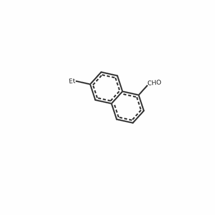 CCc1ccc2c(C=O)cccc2c1